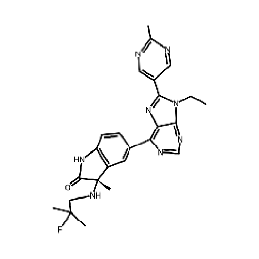 CCn1c(-c2cnc(C)nc2)nc2c(-c3ccc4c(c3)[C@](C)(NCC(C)(C)F)C(=O)N4)ncnc21